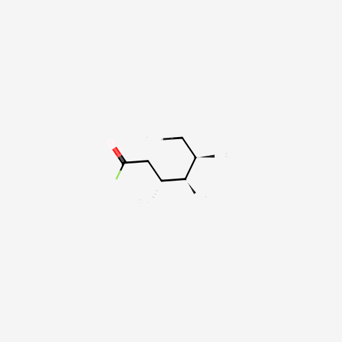 CC(=O)OC[C@@H](OC(C)=O)[C@@H](OC(C)=O)[C@@H](CC(=O)F)OC(C)=O